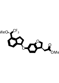 COC(=O)C[C@@H]1COc2cc(O[C@@H]3CCc4c3cccc4[C@H](OC)C(F)(F)F)ccc21